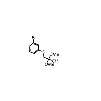 COC(C)(CSc1cccc(Br)c1)OC